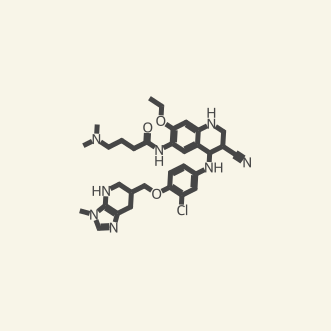 CCOc1cc2c(cc1NC(=O)CCCN(C)C)C(Nc1ccc(OCC3CNc4c(ncn4C)C3)c(Cl)c1)C(C#N)CN2